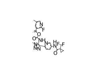 Cc1cnc(F)c([C@@H](C)OC(=O)Nc2c(-c3ccc(NC(=O)C4(C(F)F)CC4)cn3)nnn2C)c1